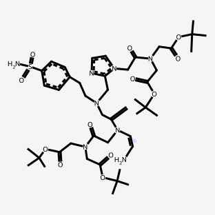 C=C(CN(CCc1ccc(S(N)(=O)=O)cc1)Cc1nccn1CC(=O)N(CC(=O)OC(C)(C)C)CC(=O)OC(C)(C)C)N(/C=C\N)CC(=O)N(CC(=O)OC(C)(C)C)CC(=O)OC(C)(C)C